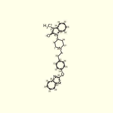 Cn1c(=O)n(C2CCN(CCc3ccc(Oc4nc5ccccc5s4)cc3)CC2)c2ccccc21